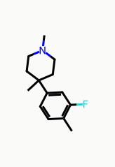 Cc1ccc(C2(C)CCN(C)CC2)cc1F